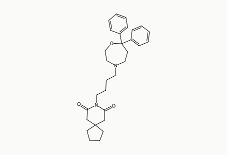 O=C1CC2(CCCC2)CC(=O)N1CCCCN1CCOC(c2ccccc2)(c2ccccc2)CC1